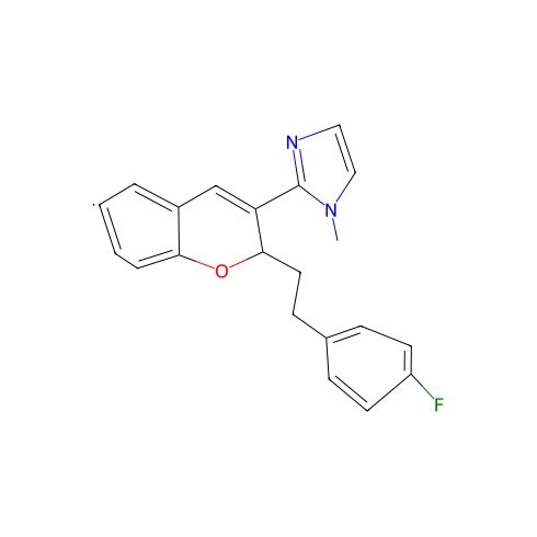 Cn1ccnc1C1=Cc2c[c]ccc2OC1CCc1ccc(F)cc1